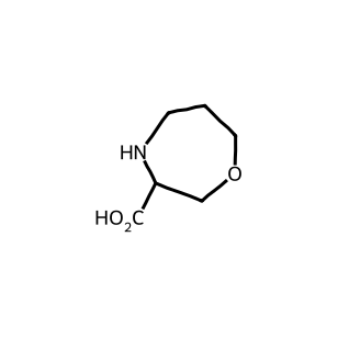 O=C(O)C1COCCCN1